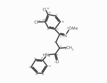 CON=C(CC(C)C(=O)Nc1ccccc1)c1ccc(Cl)c(Cl)c1